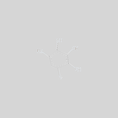 [S]c1cc(S)c(S)c(S)c1S